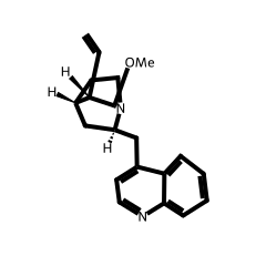 C=C[C@@H]1C(OC)N2CC[C@H]1C[C@@H]2Cc1ccnc2ccccc12